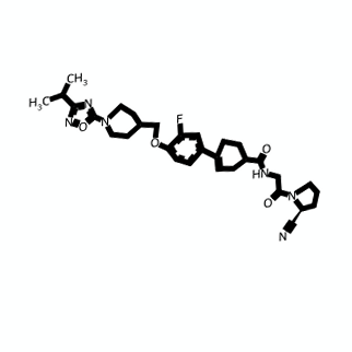 CC(C)c1noc(N2CCC(COc3ccc(C4=CCC(C(=O)NCC(=O)N5CCC[C@H]5C#N)CC4)cc3F)CC2)n1